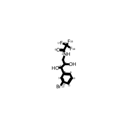 O=C(NCC(O)C(O)c1cccc(Br)c1)C(F)(F)F